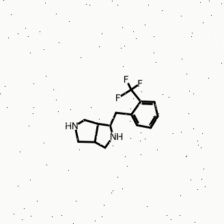 FC(F)(F)c1ccccc1CC1NCC2CNCC21